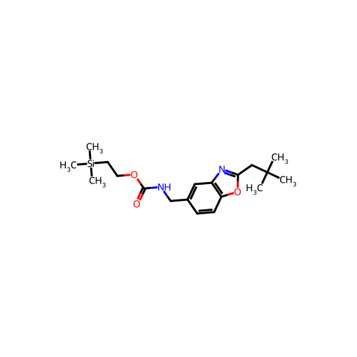 CC(C)(C)Cc1nc2cc(CNC(=O)OCC[Si](C)(C)C)ccc2o1